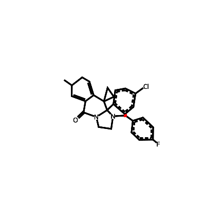 CC1C=C2C(=O)N3CCN(Cc4ccc(F)cc4)C3(c3ccc(Cl)cc3)C3(CC3)C2=CC1